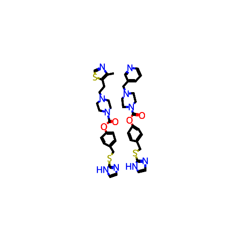 Cc1ncsc1CCN1CCN(C(=O)Oc2ccc(CSc3ncc[nH]3)cc2)CC1.O=C(Oc1ccc(CSc2ncc[nH]2)cc1)N1CCN(Cc2cccnc2)CC1